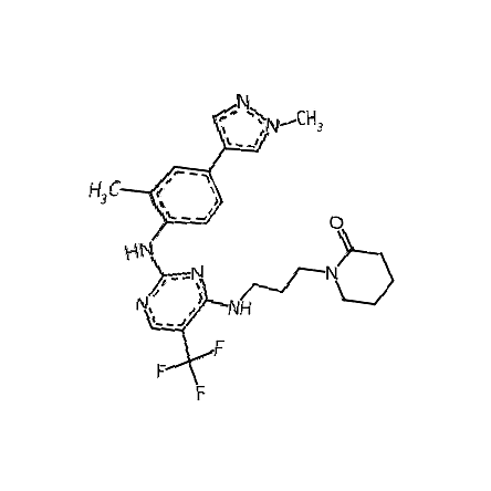 Cc1cc(-c2cnn(C)c2)ccc1Nc1ncc(C(F)(F)F)c(NCCCN2CCCCC2=O)n1